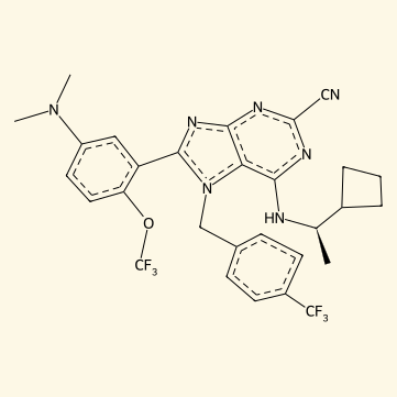 C[C@@H](Nc1nc(C#N)nc2nc(-c3cc(N(C)C)ccc3OC(F)(F)F)n(Cc3ccc(C(F)(F)F)cc3)c12)C1CCC1